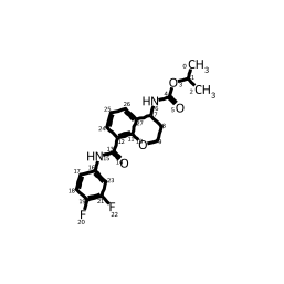 CC(C)OC(=O)NC1CCOc2c(C(=O)Nc3ccc(F)c(F)c3)cccc21